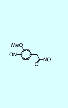 COc1cc(CC(=O)N=O)ccc1N=O